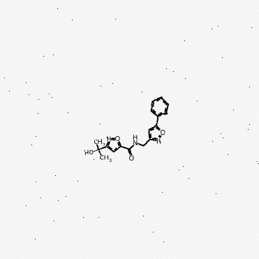 CC(C)(O)c1cc(C(=O)NCc2cc(-c3ccccc3)on2)on1